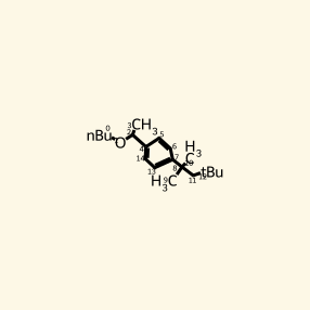 CCCCOC(C)c1ccc(C(C)(C)CC(C)(C)C)cc1